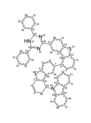 C1=Cc2sc3ccc(-c4cccc5sc6ccc(C7=NC(c8ccccc8)NC(c8ccccc8)=N7)cc6c45)cc3c2C(n2c3ccccc3c3ccccc32)C1